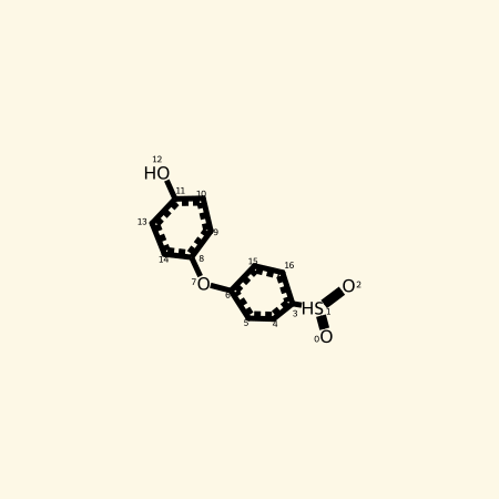 O=[SH](=O)c1ccc(Oc2ccc(O)cc2)cc1